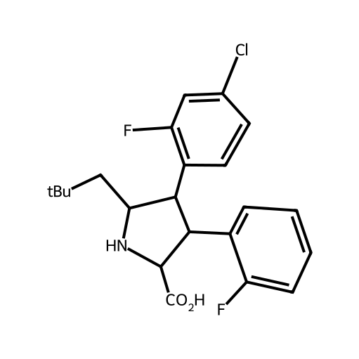 CC(C)(C)CC1NC(C(=O)O)C(c2ccccc2F)C1c1ccc(Cl)cc1F